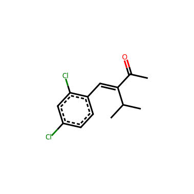 CC(=O)/C(=C/c1ccc(Cl)cc1Cl)C(C)C